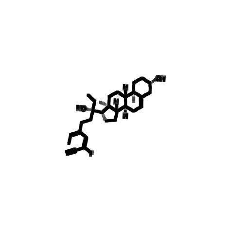 C#C/C(F)=C\C(=C/C)CC[C@@](O)(CC)[C@H]1CC[C@H]2[C@@H]3CC=C4C[C@@H](O)CC[C@]4(C)[C@H]3CC[C@]12C